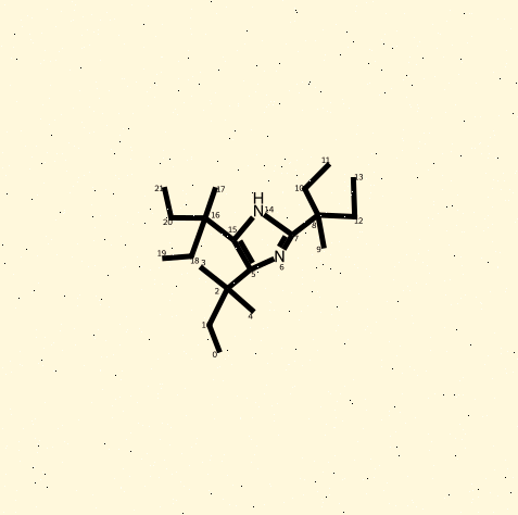 CCC(C)(C)c1nc(C(C)(CC)CC)[nH]c1C(C)(CC)CC